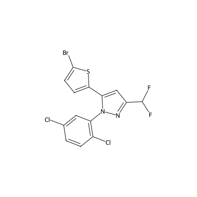 FC(F)c1cc(-c2ccc(Br)s2)n(-c2cc(Cl)ccc2Cl)n1